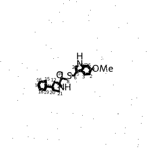 COc1ccc2c(CSCC(=O)C3CC(c4ccccc4)=CCN3)c[nH]c2c1